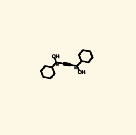 O[C@@H](C#C[C@H](O)C1CCCCC1)C1CCCCC1